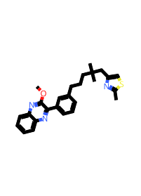 COc1nc2ccccc2nc1-c1cccc(CCCC(C)(C)Cc2csc(C)n2)c1